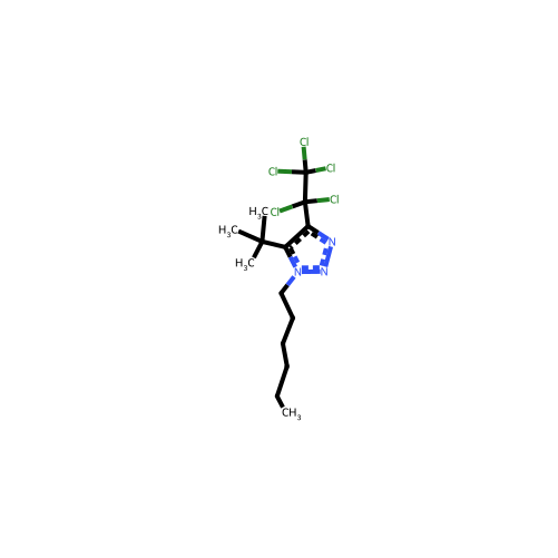 CCCCCCn1nnc(C(Cl)(Cl)C(Cl)(Cl)Cl)c1C(C)(C)C